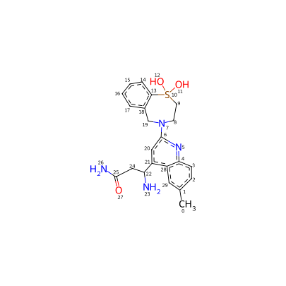 Cc1ccc2nc(N3CCS(O)(O)c4ccccc4C3)cc(C(N)CC(N)=O)c2c1